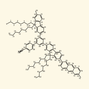 CCCCCCCCC1(CCCCCCCC)c2cc(C)ccc2-c2ccc(-c3cc(-c4ccc(C#N)cc4)cc(-c4ccc5c(c4)C(CCCCCCCC)(CCCCCCCC)c4cc(-c6ccc7cc8cc(C)ccc8cc7c6)ccc4-5)c3)cc21